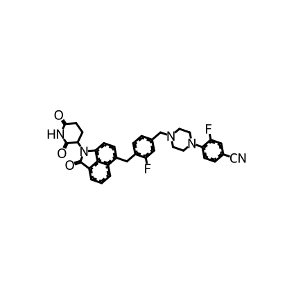 N#Cc1ccc(N2CCN(Cc3ccc(Cc4ccc5c6c(cccc46)C(=O)N5C4CCC(=O)NC4=O)c(F)c3)CC2)c(F)c1